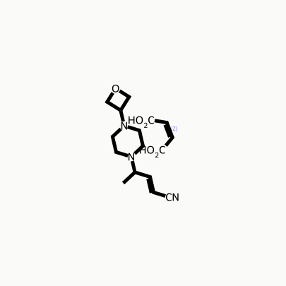 CC(C=CC#N)N1CCN(C2COC2)CC1.O=C(O)/C=C\C(=O)O